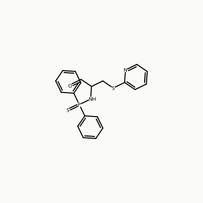 O=CC(CSc1ccccn1)NP(=S)(c1ccccc1)c1ccccc1